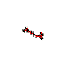 O=C(CNCCCCCC(=O)N1CCN(c2nc(N3CCOCC3)nc(-n3c(C(F)F)nc4ccccc43)n2)CC1)NCCONC(=O)c1cc(F)c(F)cc1Nc1ccc(I)cc1F